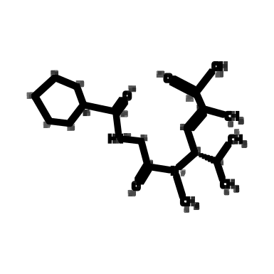 C/C(=C\[C@H](C(C)C)N(C)C(=O)CNC(=O)C1CCCCC1)C(=O)O